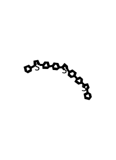 c1ccc(-c2ccc(-c3ccc(-c4ccc(-c5ccc(-c6ccc(-c7ccc(-c8ccc(-c9ccccc9)s8)cc7)cc6)s5)cc4)cc3)s2)cc1